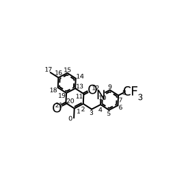 CC1=C(Cc2ccc(C(F)(F)F)cn2)C(=O)c2ccc(C)cc2C1=O